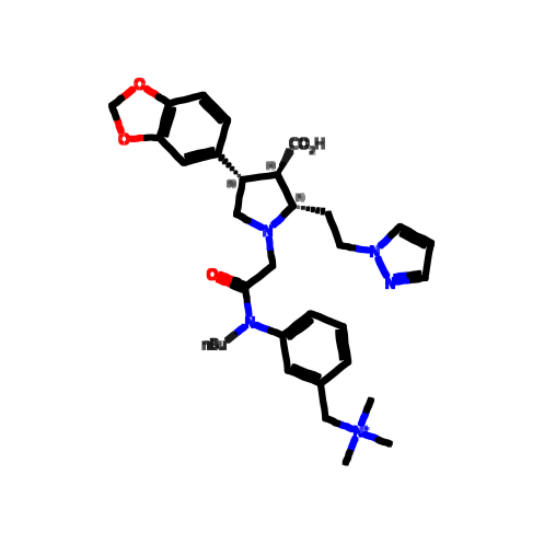 CCCCN(C(=O)CN1C[C@H](c2ccc3c(c2)OCO3)[C@@H](C(=O)O)[C@@H]1CCn1cccn1)c1cccc(C[N+](C)(C)C)c1